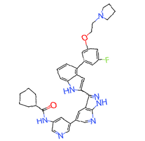 O=C(Nc1cncc(-c2cnc3[nH]nc(-c4cc5c(-c6cc(F)cc(OCCN7CCCC7)c6)cccc5[nH]4)c3c2)c1)C1CCCCC1